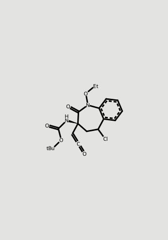 CCON1C(=O)[C@](C=C=O)(NC(=O)OC(C)(C)C)CC(Cl)c2ccccc21